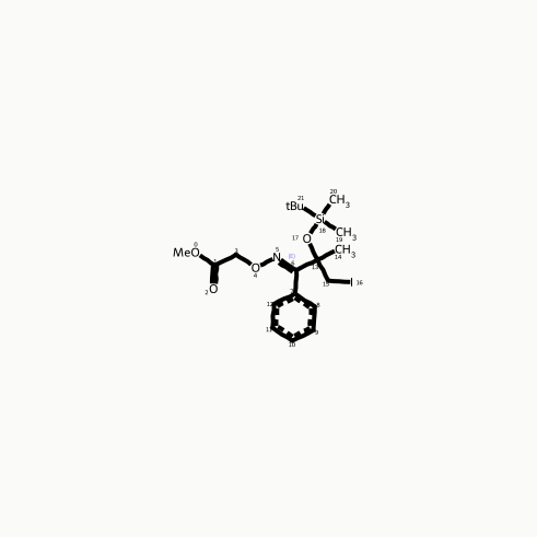 COC(=O)CO/N=C(\c1ccccc1)C(C)(CI)O[Si](C)(C)C(C)(C)C